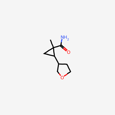 CC1(C(N)=O)CC1C1CCOC1